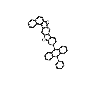 c1ccc(-c2c3ccccc3c(-c3ccc4c(c3)oc3cc5c(cc34)oc3ccc4ccccc4c35)c3ccccc23)cc1